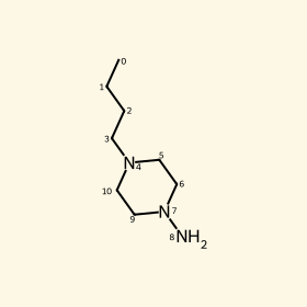 CCCCN1CCN(N)CC1